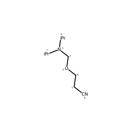 CC(C)N(COCCC#N)C(C)C